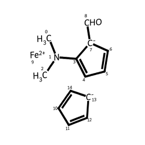 CN(C)c1ccc[c-]1C=O.[Fe+2].c1cc[cH-]c1